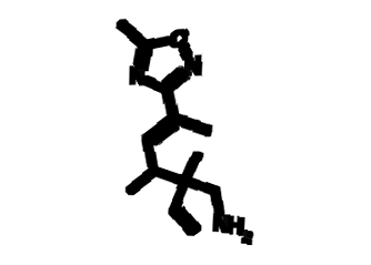 C=CC(C)(CN)C(C)/C=C(\C)c1noc(C)n1